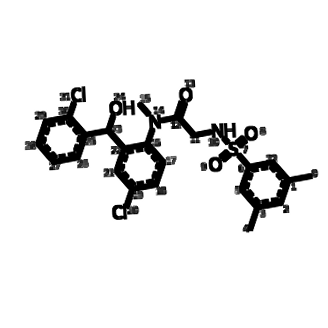 Cc1cc(C)cc(S(=O)(=O)NCC(=O)N(C)c2ccc(Cl)cc2C(O)c2ccccc2Cl)c1